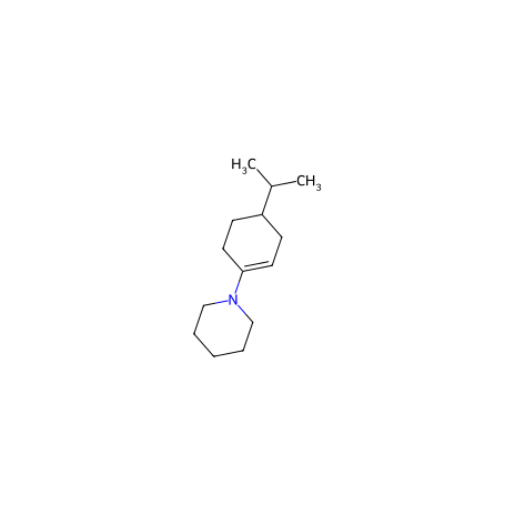 CC(C)C1CC=C(N2CCCCC2)CC1